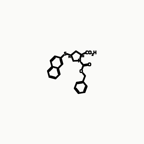 O=C(O)[C@@H]1C[C@H](Sc2ccc3ccccc3c2)CN1C(=O)OCc1ccccc1